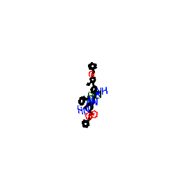 CCc1cc(OCc2ccccc2)ccc1-c1ccc2c(-c3nc4c(n3Cc3ccccc3)CNC(C(=O)OCc3ccccc3)C4)n[nH]c2c1.Cl